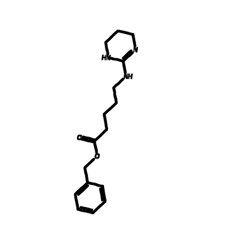 O=C(CCCCNC1=NCCCN1)OCc1ccccc1